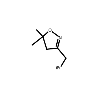 CC(C)CC1=NOC(C)(C)C1